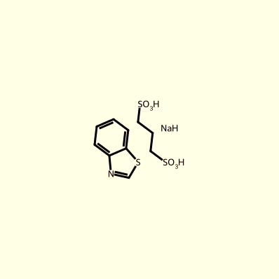 O=S(=O)(O)CCCS(=O)(=O)O.[NaH].c1ccc2scnc2c1